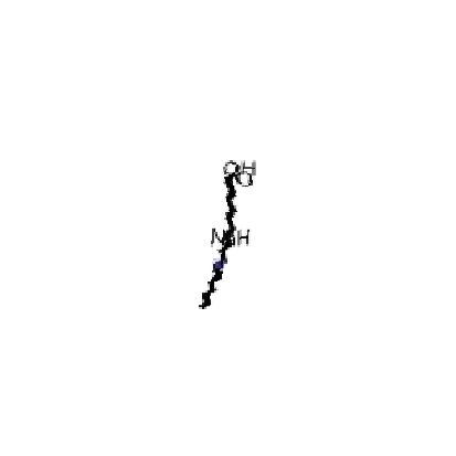 CCCCCC/C=C/CCCCCCCCCC(=O)O.[NaH]